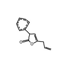 C=CCC1=CC(c2ccccc2)C(=O)O1